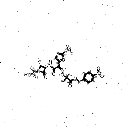 C[C@@H]1[C@H](NC(=O)C(=NOC(C)(C)C(=O)OCc2ccc([N+](=O)[O-])cc2)c2csc(N)n2)C(=O)N1S(=O)(=O)O.[Na]